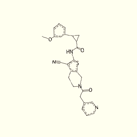 COc1cccc(C2CC2C(=O)Nc2sc3c(c2C#N)CCN(C(=O)Cc2cccnc2)C3)c1